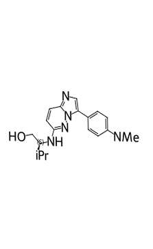 CNc1ccc(-c2cnc3ccc(N[C@H](CO)C(C)C)nn23)cc1